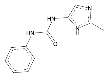 Cc1ncc(NC(=O)Nc2ccccc2)[nH]1